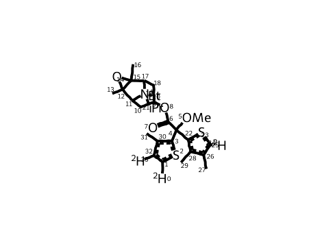 [2H]c1sc(C(OC)(C(=O)OC2CC3C4(C)OC4(C)C(C2)[N+]3(CC)C(C)C)c2sc([2H])c(C)c2C)c(C)c1[2H]